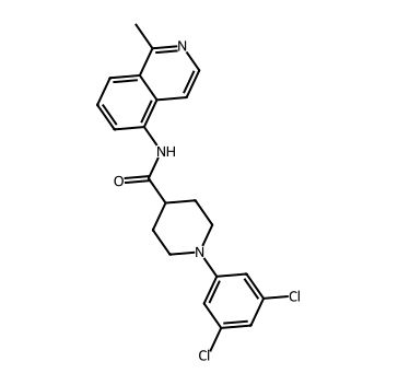 Cc1nccc2c(NC(=O)C3CCN(c4cc(Cl)cc(Cl)c4)CC3)cccc12